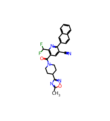 Cc1nc(C2CCN(C(=O)c3cc(C#N)c(-c4ccc5ccccc5c4)nc3C(F)F)CC2)no1